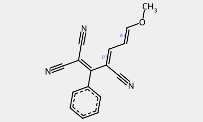 CO/C=C/C=C(\C#N)C(=C(C#N)C#N)c1ccccc1